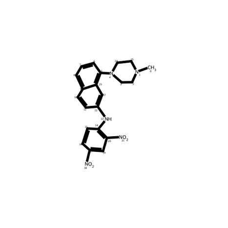 CN1CCN(c2cccc3ccc(Nc4ccc([N+](=O)[O-])cc4[N+](=O)[O-])cc23)CC1